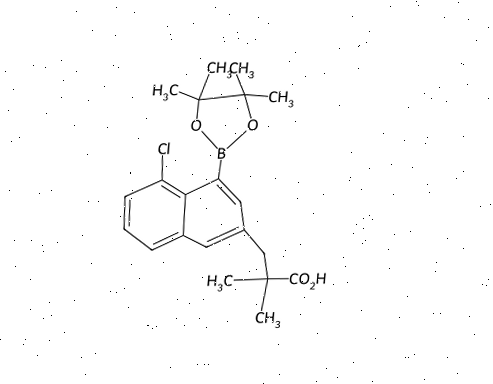 CC(C)(Cc1cc(B2OC(C)(C)C(C)(C)O2)c2c(Cl)cccc2c1)C(=O)O